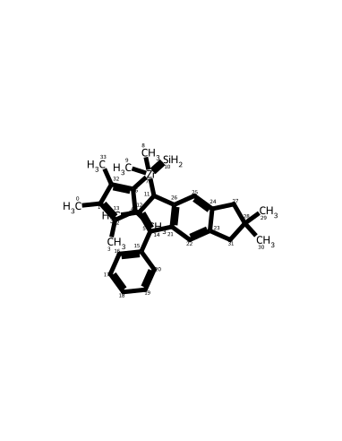 CC1=C(C)C(C)[C]([Zr]([CH3])([CH3])(=[SiH2])[CH]2C(C)=C(c3ccccc3)c3cc4c(cc32)CC(C)(C)C4)=C1C